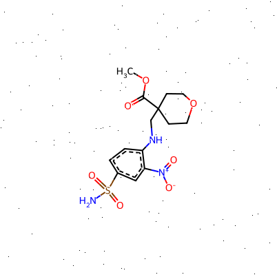 COC(=O)C1(CNc2ccc(S(N)(=O)=O)cc2[N+](=O)[O-])CCOCC1